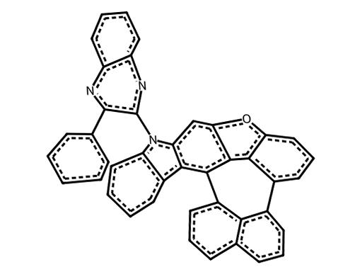 c1ccc(-c2nc3ccccc3nc2-n2c3ccccc3c3c4c5c(cc32)oc2cccc(c25)-c2cccc3cccc-4c23)cc1